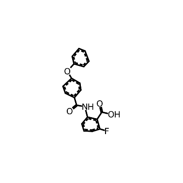 O=C(Nc1cccc(F)c1C(=O)O)c1ccc(Oc2ccccc2)cc1